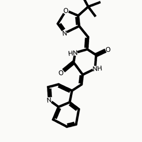 CC(C)(C)c1ocnc1C=c1[nH]c(=O)c(=Cc2ccnc3ccccc23)[nH]c1=O